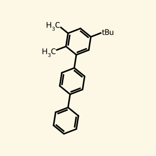 Cc1cc(C(C)(C)C)cc(-c2ccc(-c3ccccc3)cc2)c1C